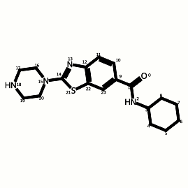 O=C(NC1CCCCC1)c1ccc2nc(N3CCNCC3)sc2c1